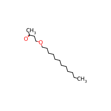 CCCCCCCCCCCCOCCC(C)=O